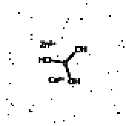 OB(O)O.[Ca+2].[Zn+2]